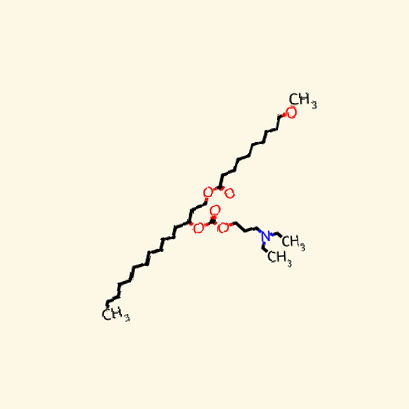 CCCCCCCCCCCCC(CCOC(=O)CCCCCCCCCOC)OC(=O)OCCCN(CC)CC